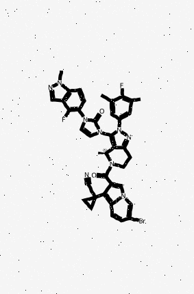 Cc1cc(-n2nc3c(c2-n2ccn(-c4ccc5c(cnn5C)c4F)c2=O)[C@H](C)N(C(=O)c2cn4cc(Br)ccc4c2C2(C#N)CC2)CC3)cc(C)c1F